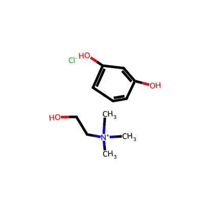 C[N+](C)(C)CCO.Oc1cccc(O)c1.[Cl-]